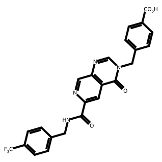 O=C(O)c1ccc(Cn2cnc3cnc(C(=O)NCc4ccc(C(F)(F)F)cc4)cc3c2=O)cc1